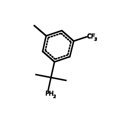 Cc1cc(C(F)(F)F)cc(C(C)(C)P)c1